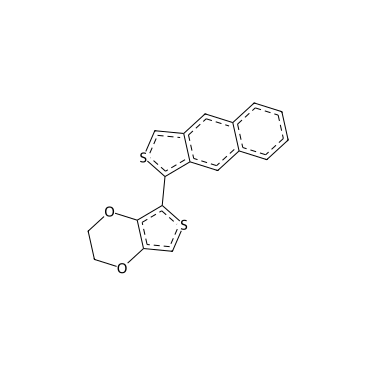 c1ccc2cc3c(-c4scc5c4OCCO5)scc3cc2c1